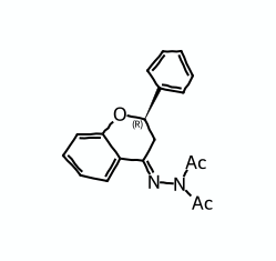 CC(=O)N(N=C1C[C@H](c2ccccc2)Oc2ccccc21)C(C)=O